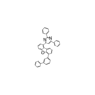 c1ccc(-c2cccc(-c3cccc4c3oc3cccc(-c5cc(-c6ccccc6)nc(-c6ccccc6)n5)c34)c2)cc1